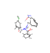 NC(=O)c1ccccc1CN(C(=O)c1ccccc1)C1COc2ccc(F)cc21